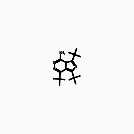 CC(C)(C)c1nnc(N)n2c(C(C)(C)C)nc(C(C)(C)C)c12